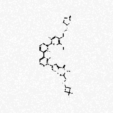 COc1nc(-c2cccc(-c3cccc(-c4cc5c(=O)n(C)c(CNC6CC(C)(O)C6)nn5c4)c3Cl)c2Cl)c(F)cc1CNC[C@H]1CCC(=O)N1